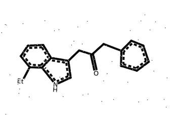 CCc1cccc2c(CC(=O)Cc3ccccc3)c[nH]c12